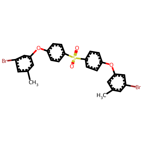 Cc1cc(Br)cc(Oc2ccc(S(=O)(=O)c3ccc(Oc4cc(C)cc(Br)c4)cc3)cc2)c1